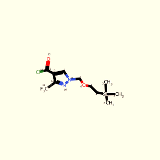 C[Si](C)(C)CCOCn1cc(C(=O)Cl)c(C(F)(F)F)n1